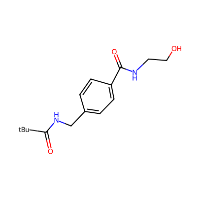 CC(C)(C)C(=O)NCc1ccc(C(=O)NCCO)cc1